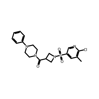 Cc1cc(S(=O)(=O)N2CC(C(=O)N3CCN(c4ccccc4)CC3)C2)cnc1Cl